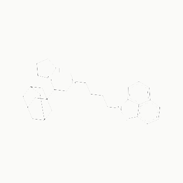 CN(CCCCN1Sc2cccc3cccc1c23)CC(N1CCCC1)C12CC3CC(CC(C3)C1)C2